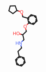 OC(CNCCc1ccccc1)COc1ccccc1COC1CCCC1